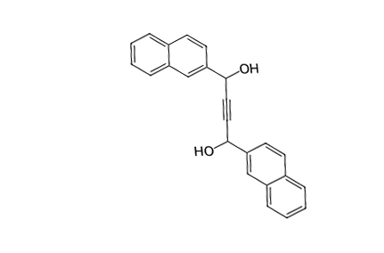 OC(C#CC(O)c1ccc2ccccc2c1)c1ccc2ccccc2c1